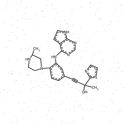 CC1CN(c2ccc(C#CC(C)(O)c3nccs3)cc2Nc2ncnc3[nH]ccc23)CCN1